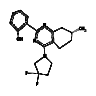 C[C@@H]1CCc2c(nc(-c3ccccc3O)nc2N2CCC(F)(F)C2)C1